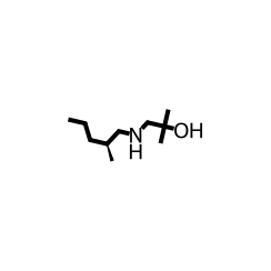 CCC[C@H](C)CNCC(C)(C)O